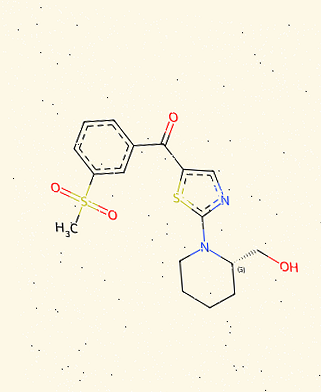 CS(=O)(=O)c1cccc(C(=O)c2cnc(N3CCCC[C@H]3CO)s2)c1